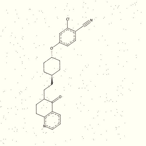 N#Cc1ccc(O[C@H]2CC[C@H](CCC3CCc4ncccc4C3=O)CC2)cc1Cl